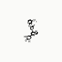 O=C1NC=C(c2cc(N3C[C@@H](Oc4cc(C(F)(F)F)ccn4)C(F)(F)C3)c3nccn3n2)CN1